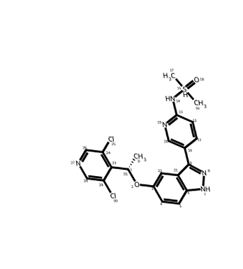 C[C@H](Oc1ccc2[nH]nc(-c3ccc(N[SH](C)(C)=O)nc3)c2c1)c1c(Cl)cncc1Cl